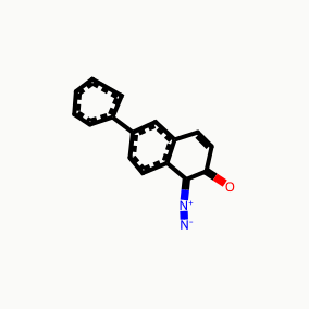 [N-]=[N+]=C1C(=O)C=Cc2cc(-c3ccccc3)ccc21